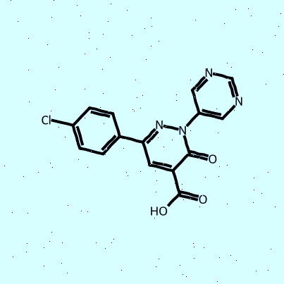 O=C(O)c1cc(-c2ccc(Cl)cc2)nn(-c2cncnc2)c1=O